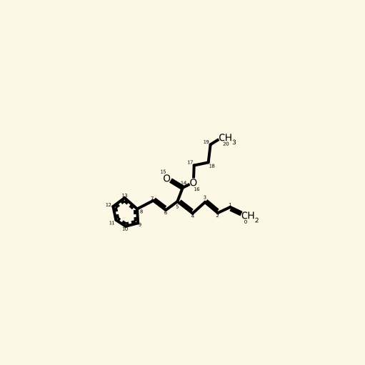 C=CC=CC=C(C=Cc1ccccc1)C(=O)OCCCC